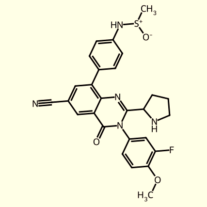 COc1ccc(-n2c(C3CCCN3)nc3c(-c4ccc(N[S+](C)[O-])cc4)cc(C#N)cc3c2=O)cc1F